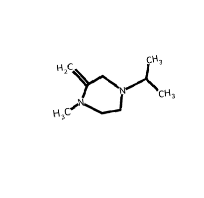 C=C1CN(C(C)C)CCN1C